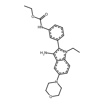 CCOC(=O)Nc1cccc(-c2c(N)c3cc(N4CCOCC4)ccc3n2CC)c1